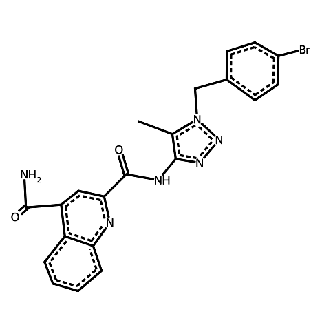 Cc1c(NC(=O)c2cc(C(N)=O)c3ccccc3n2)nnn1Cc1ccc(Br)cc1